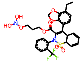 CCc1ccc(C2=C(C(=O)OCCCON(O)O)N(c3ccccc3C(F)(F)F)S(=O)(=O)C3C=CC=CC23)c2c1OCO2